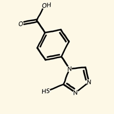 O=C(O)c1ccc(-n2cnnc2S)cc1